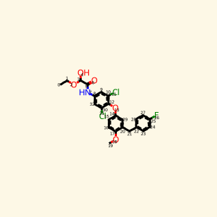 CCOC(O)C(=O)Nc1cc(Cl)c(Oc2ccc(OC)c(Cc3ccc(F)cc3)c2)c(Cl)c1